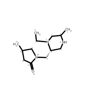 CCN1CC(C)NC[C@@H]1CN1CC(C)CC1=O